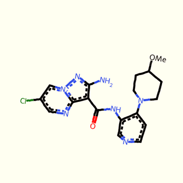 COC1CCN(c2ccncc2NC(=O)c2c(N)nn3cc(Cl)cnc23)CC1